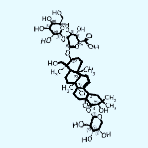 CC1(C)CC2C3=CCC4[C@@]5(C)CC[C@H](O[C@@H]6O[C@H](C(=O)O)[C@@H](O)[C@H](O)[C@H]6O[C@@H]6O[C@H](CO)[C@H](O)[C@H](O)[C@H]6O)[C@](C)(CO)C5CC[C@@]4(C)[C@]3(C)CC[C@@]2(C)[C@H](O[C@@H]2OC[C@H](O)[C@H](O)[C@H]2O)[C@@H]1O